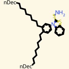 CCCCCCCCCCCCCCCCCCc1ccccc1CCCCCCCCCCCCCCCCCC.NSc1nc2ccccc2s1